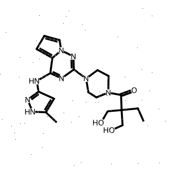 CCC(CO)(CO)C(=O)N1CCN(c2nc(Nc3cc(C)[nH]n3)c3cccn3n2)CC1